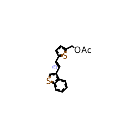 CC(=O)OCc1ccc(/C=C/c2csc3ccccc23)s1